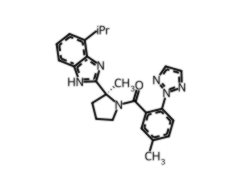 Cc1ccc(-n2nccn2)c(C(=O)N2CCC[C@@]2(C)c2nc3c(C(C)C)cccc3[nH]2)c1